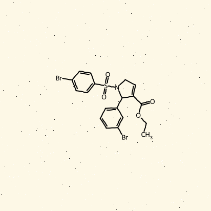 CCOC(=O)C1=CCN(S(=O)(=O)c2ccc(Br)cc2)C1c1cccc(Br)c1